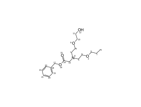 CCCOCCN(CCOCCO)CC(=O)OCc1ccccc1